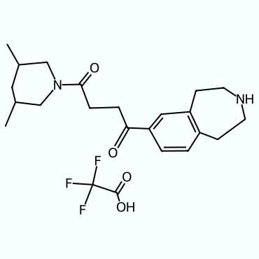 CC1CC(C)CN(C(=O)CCC(=O)c2ccc3c(c2)CCNCC3)C1.O=C(O)C(F)(F)F